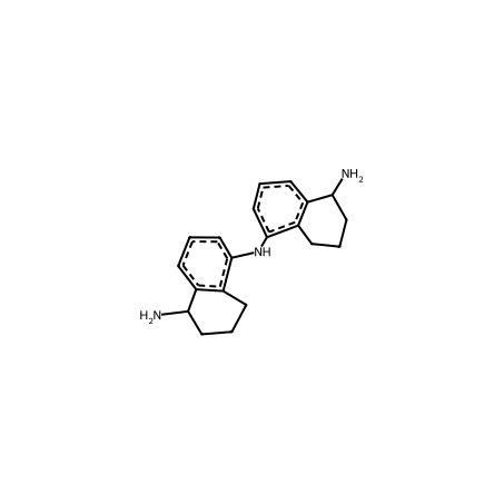 NC1CCCc2c(Nc3cccc4c3CCCC4N)cccc21